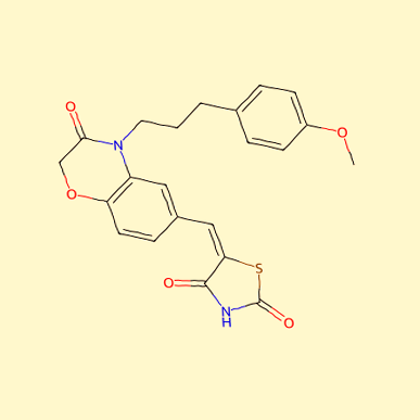 COc1ccc(CCCN2C(=O)COc3ccc(C=C4SC(=O)NC4=O)cc32)cc1